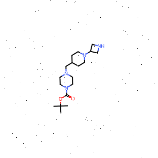 CC(C)(C)OC(=O)N1CCN(CC2CCN(C3CNC3)CC2)CC1